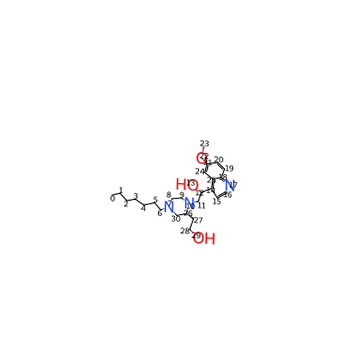 CCCCCCCN1CCN(CC(O)c2ccnc3ccc(OC)cc23)[C@@H](CCO)C1